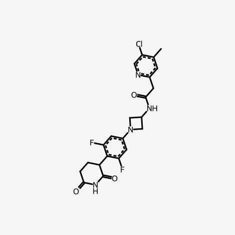 Cc1cc(CC(=O)NC2CN(c3cc(F)c(C4CCC(=O)NC4=O)c(F)c3)C2)ncc1Cl